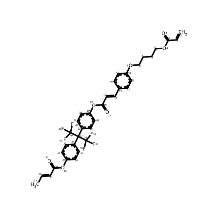 C=CC(=O)OCCCCOc1ccc(/C=C/C(=O)Oc2ccc(C(c3ccc(OC(=O)/C=C/C)cc3)(C(F)(F)F)C(F)(F)F)cc2)cc1